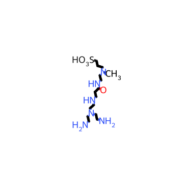 CN(CCCS(=O)(=O)O)CCNC(=O)CCNCCN(CCN)CCN